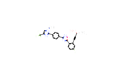 C[C@@H](O)C#Cc1cc(F)ccc1-c1nc(-c2ccc(-c3nc(C(F)(F)F)cn3C)cc2)no1